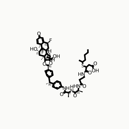 CCCCC(C)SC(CC(=O)O)C(=O)NCCC(=O)N[C@@H](C)C(=O)N[C@@H](C)C(=O)Nc1ccc([C@H](C)c2ccc([C@@H]3O[C@@H]4CC5[C@@H]6C[C@H](F)C7=CC(=O)C=C[C@]7(C)[C@@]6(F)[C@@H](O)C[C@]5(C)[C@]4(C(=O)CO)O3)cc2)cc1